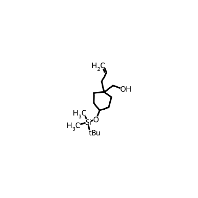 C=CCC1(CO)CCC(O[Si](C)(C)C(C)(C)C)CC1